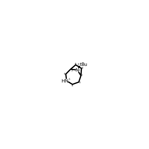 CC(C)(C)N1C2CCNCC1CC2